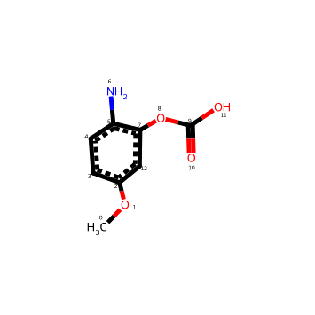 COc1ccc(N)c(OC(=O)O)c1